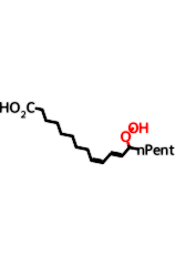 CCCCCC(/C=C/C=C\CCCCCCCC(=O)O)OO